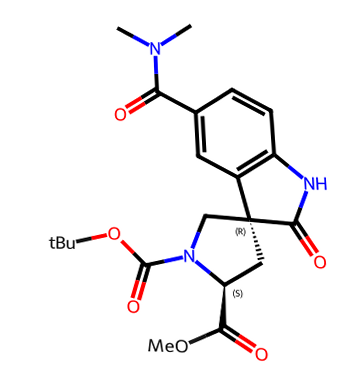 COC(=O)[C@@H]1C[C@@]2(CN1C(=O)OC(C)(C)C)C(=O)Nc1ccc(C(=O)N(C)C)cc12